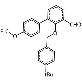 CC(C)(C)c1ccc(COc2c(C=O)cccc2-c2ccc(OC(F)(F)F)cc2)cc1